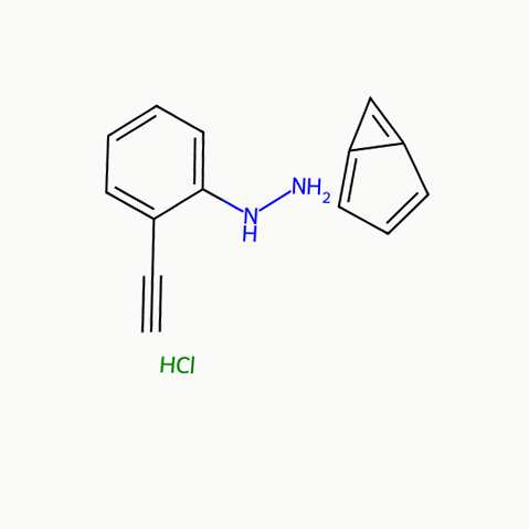 C#Cc1ccccc1NN.Cl.c1cc2cc-2c1